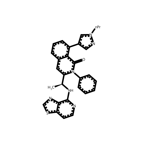 CCCn1cc(-c2cccc3cc([C@H](C)Nc4nccc5scnc45)n(-c4ccccc4)c(=O)c23)cn1